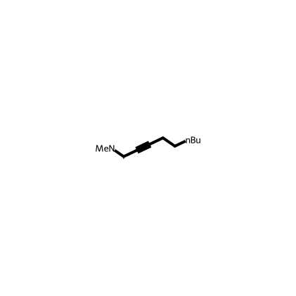 CCCCCCC#C[CH]NC